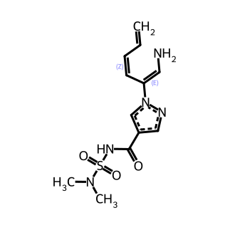 C=C/C=C\C(=C/N)n1cc(C(=O)NS(=O)(=O)N(C)C)cn1